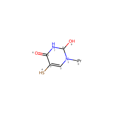 CC(C)N1C=C(S)C(=O)NC1O